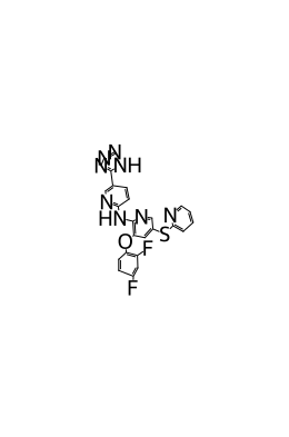 Fc1ccc(Oc2cc(Sc3ccccn3)cnc2Nc2ccc(-c3nnn[nH]3)cn2)c(F)c1